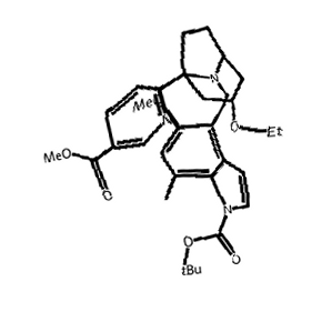 CCOC1CC2CCC(c3ccc(C(=O)OC)cn3)(C1)N2Cc1c(OC)cc(C)c2c1ccn2C(=O)OC(C)(C)C